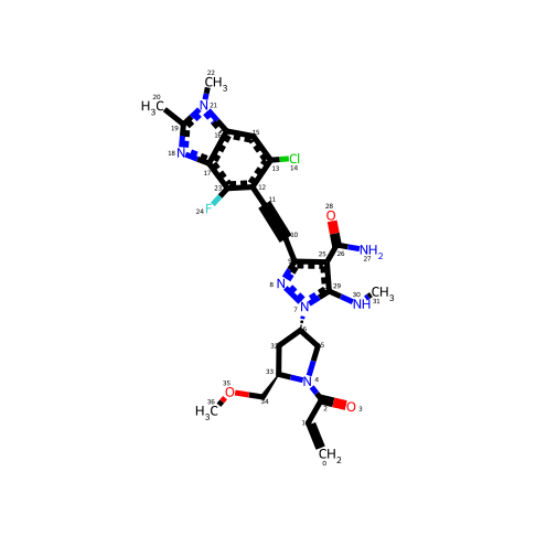 C=CC(=O)N1C[C@@H](n2nc(C#Cc3c(Cl)cc4c(nc(C)n4C)c3F)c(C(N)=O)c2NC)C[C@@H]1COC